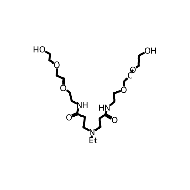 CCN(CCC(=O)NCCOCCOCCO)CCC(=O)NCCOCCOCCO